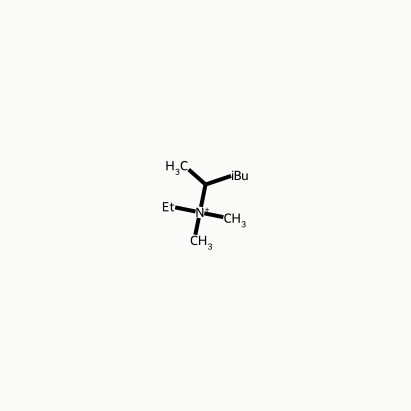 CCC(C)C(C)[N+](C)(C)CC